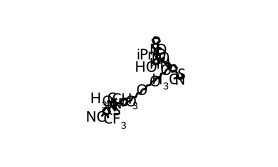 Cc1ncsc1-c1ccc(CNC(=O)[C@@H]2C[C@@H](O)CN2C(=O)[C@H](C(C)C)N2Cc3ccccc3C2=O)c(OCCCCOCCCCOCCCCOc2ccc(N3C(=S)N(c4ccc(C#N)c(C(F)(F)F)c4)C(=O)C3(C)C)cc2)c1